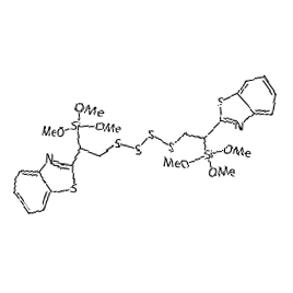 CO[Si](OC)(OC)C(CSSSSCC(c1nc2ccccc2s1)[Si](OC)(OC)OC)c1nc2ccccc2s1